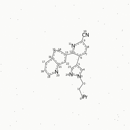 CC(C)CCn1cc(-c2ccc(C#N)nc2-c2ccc3cccnc3c2)cn1